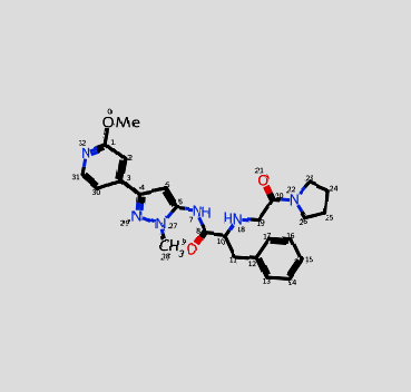 COc1cc(-c2cc(NC(=O)C(Cc3ccccc3)NCC(=O)N3CCCC3)n(C)n2)ccn1